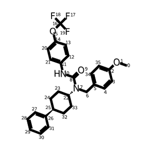 COc1ccc(CN(C(=O)Nc2ccc(OC(F)(F)F)cc2)[C@H]2CC[C@H](c3ccccc3)CC2)cc1